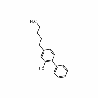 CCCCCc1ccc(-c2ccccc2)c(O)c1